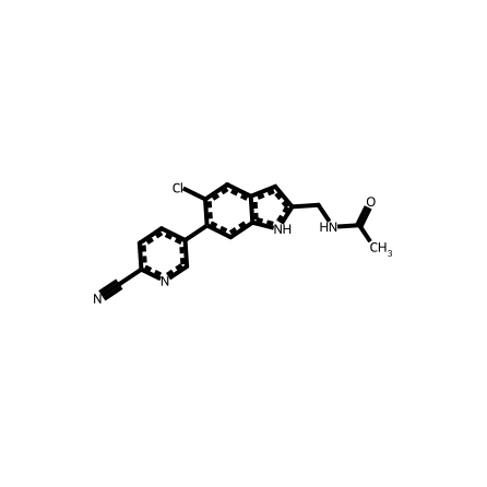 CC(=O)NCc1cc2cc(Cl)c(-c3ccc(C#N)nc3)cc2[nH]1